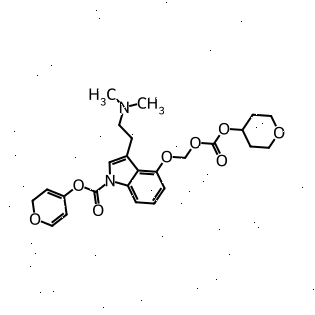 CN(C)CCc1cn(C(=O)OC2=CCOC=C2)c2cccc(OCOC(=O)OC3CCOCC3)c12